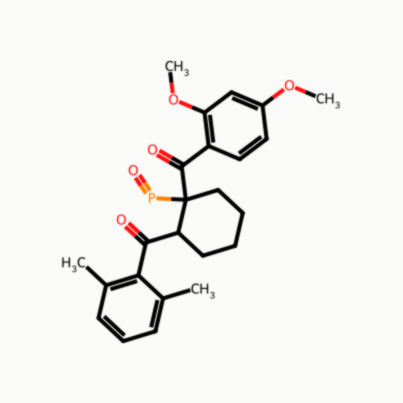 COc1ccc(C(=O)C2(P=O)CCCCC2C(=O)c2c(C)cccc2C)c(OC)c1